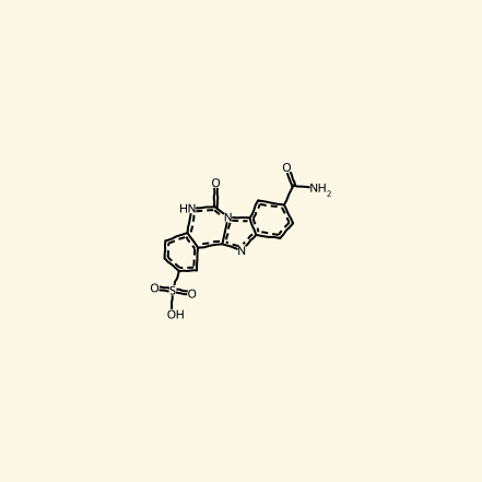 NC(=O)c1ccc2nc3c4cc(S(=O)(=O)O)ccc4[nH]c(=O)n3c2c1